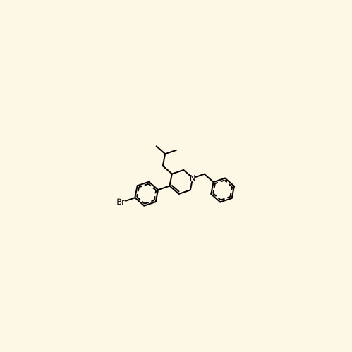 CC(C)CC1CN(Cc2ccccc2)CC=C1c1ccc(Br)cc1